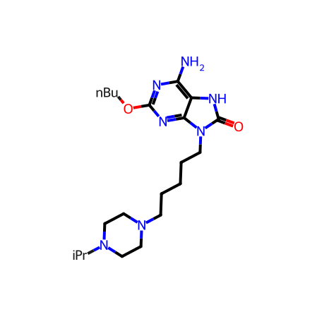 CCCCOc1nc(N)c2[nH]c(=O)n(CCCCCN3CCN(C(C)C)CC3)c2n1